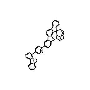 c1ccc2c(c1)-c1ccc3c(sc4ccc(-c5ccc(-c6cccc7c6oc6ccccc67)cn5)cc43)c1C21C2CC3CC(C2)CC1C3